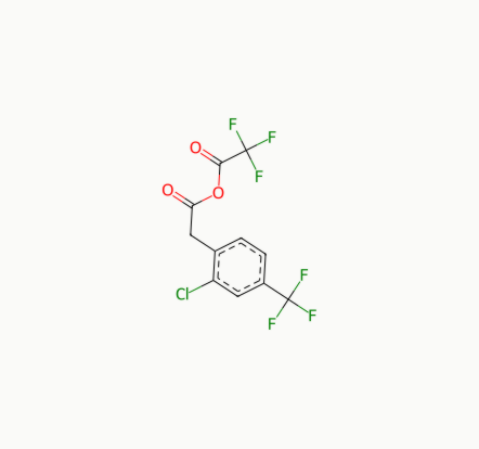 O=C(Cc1ccc(C(F)(F)F)cc1Cl)OC(=O)C(F)(F)F